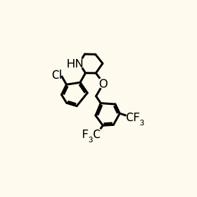 FC(F)(F)c1cc(COC2CCCNC2c2ccccc2Cl)cc(C(F)(F)F)c1